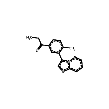 CCC(=O)c1ccc(C)c(-c2cnc3cccnn23)c1